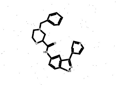 O=C(Nc1ccc2[nH]nc(-c3ccncc3)c2c1)C1CN(Cc2ccccc2)CCO1